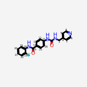 O=C(NCc1ccncc1)Nc1ccc(C(=O)Nc2ccccc2F)cc1